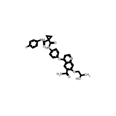 CC(O)COc1cc2nccc(Oc3ccc(NC(=O)C4(C(=O)Nc5ccc(F)cc5)CC4)cc3)c2cc1C(N)=O